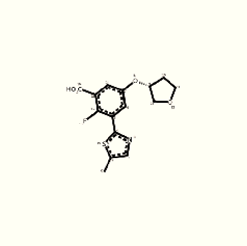 Cc1cnc(-c2cc(O[C@@H]3CCOC3)cc(C(=O)O)c2F)s1